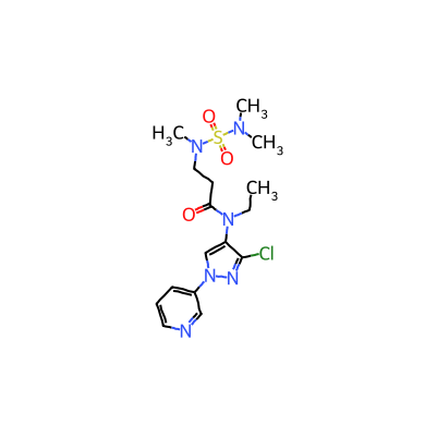 CCN(C(=O)CCN(C)S(=O)(=O)N(C)C)c1cn(-c2cccnc2)nc1Cl